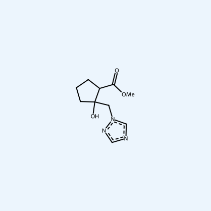 COC(=O)C1CCCC1(O)Cn1cncn1